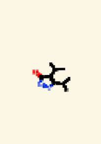 CC(C)C1=C(C(C)C)C(=O)N=N1